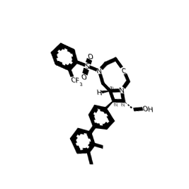 Cc1cccc(-c2ccc([C@@H]3[C@@H](CO)N4CCCCN(S(=O)(=O)c5ccccc5C(F)(F)F)C[C@@H]34)cc2)c1C